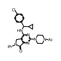 CC(=O)N1CCN(c2nc(NC(c3ccc(Cl)cc3)C3CC3)c3c(n2)C(=O)N(C(C)C)C3)CC1